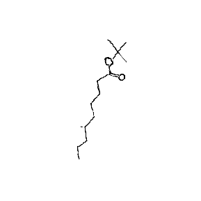 CCC[CH]CCCCC(=O)OC(C)(C)C